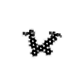 C=C(C)C(=O)Oc1ccc2cc(N(c3ccccc3)c3ccc(N(c4ccccc4)c4ccc5cc(OC(=O)C(=C)C)ccc5c4)cc3)ccc2c1